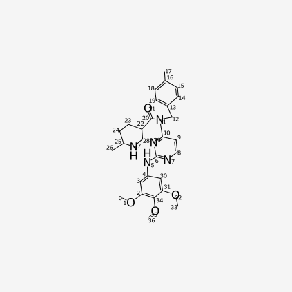 COc1cc(Nc2nccc(N(Cc3ccc(C)cc3)C(=O)C3CCC(C)NC3)n2)cc(OC)c1OC